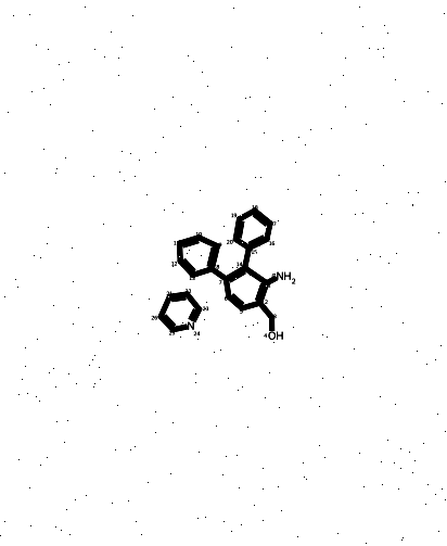 Nc1c(CO)ccc(-c2ccccc2)c1-c1ccccc1.c1ccncc1